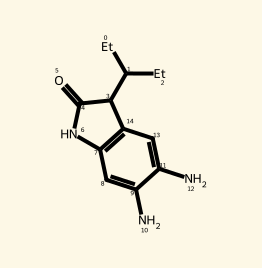 CCC(CC)C1C(=O)Nc2cc(N)c(N)cc21